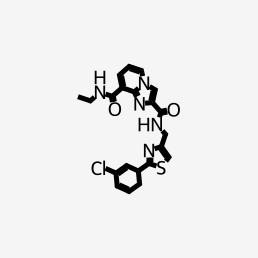 CCNC(=O)c1cccn2cc(C(=O)NCc3csc(C4C=C(Cl)C=CC4)n3)nc12